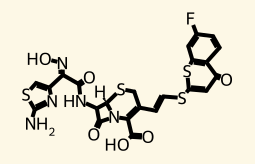 Nc1nc(/C(=N\O)C(=O)NC2C(=O)N3C(C(=O)O)=C(/C=C/Sc4cc(=O)c5ccc(F)cc5s4)CS[C@H]23)cs1